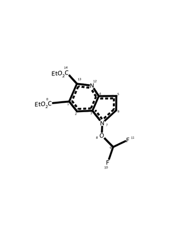 CCOC(=O)c1cc2c(ccn2OC(F)F)nc1C(=O)OCC